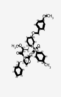 COc1ccc(CO[C@@H]2CC[C@@H](C[C@H](OC)C(=O)N3C(=O)OC[C@@H]3Cc3ccccc3)N(S(=O)(=O)c3ccc(C)cc3)C2)cc1